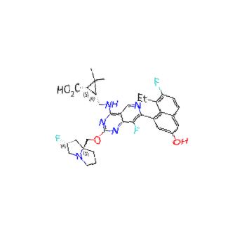 CCc1c(F)ccc2cc(O)cc(-c3ncc4c(NC[C@@H]5[C@H](C(=O)O)C5(C)C)nc(OC[C@@]56CCCN5C[C@H](F)C6)nc4c3F)c12